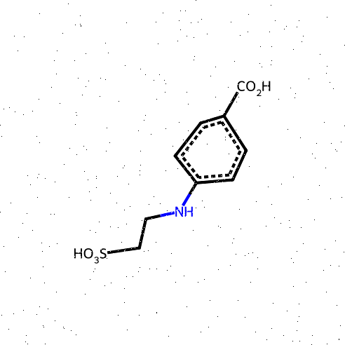 O=C(O)c1ccc(NCCS(=O)(=O)O)cc1